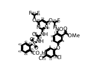 COC(=O)c1cc(Oc2ccc(Cl)cc2Cl)ccc1[N+](=O)[O-].O=C(Nc1nc(OC(F)F)cc(OC(F)F)n1)NS(=O)(=O)c1ccccc1C(=O)O